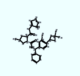 O=C(N[C@@H](c1ccccc1)c1ccc(C2CC(F)(F)C2)c(F)c1)[C@@H]1C[C@@H](F)CN1C(=O)Cc1cnn[nH]1